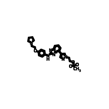 CS(=O)(=O)OCCn1cc(-c2cccc3nc(Nc4ccc(OCCN5CCCC5)cc4)nn23)cn1